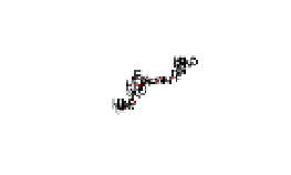 O=C1CCC(N2Cc3c(ccc(CN4CCN(c5ccc(-n6cc(NC(=O)c7coc(-c8ccnc(NCC(F)(F)F)c8)n7)c(C(F)F)n6)cc5)CC4)c3F)C2=O)C(=O)N1